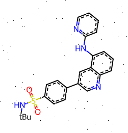 CC(C)(C)NS(=O)(=O)c1ccc(-c2cnc3cccc(Nc4ccccn4)c3c2)cc1